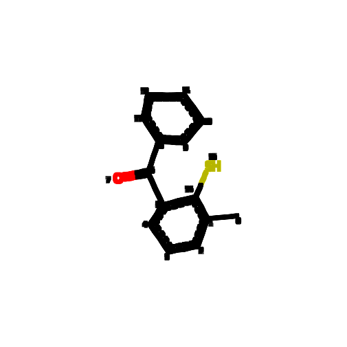 Cc1cccc(C(=O)c2ccccc2)c1S